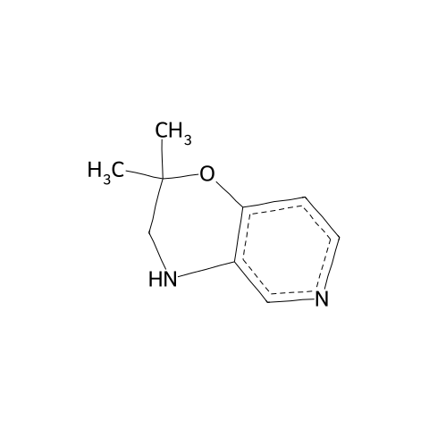 CC1(C)CNc2cnccc2O1